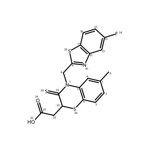 Cc1ccc2c(c1)N(Cc1nc3cc(F)ccc3s1)C(=S)C(CC(=O)O)S2